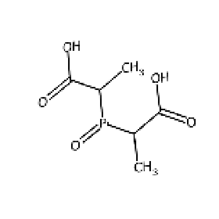 CC(C(=O)O)[P](=O)C(C)C(=O)O